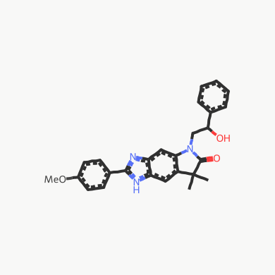 COc1ccc(-c2nc3cc4c(cc3[nH]2)C(C)(C)C(=O)N4CC(O)c2ccccc2)cc1